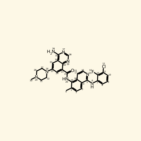 Cc1ccc2c(Nc3cccc(Cl)c3F)nccc2c1NC(=O)c1cc(N2CCN(C)CC2)cc2c(N)ncnc12